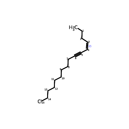 CCC/C=C\C#CCCCCCCCCCl